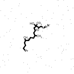 CC(C)CCCC(C)CCCC(C)CCCC(C)(O)C(O)CN=[N+]=[N-]